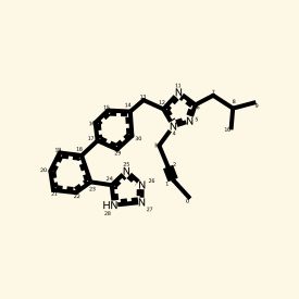 CC#CCn1nc(CC(C)C)nc1Cc1ccc(-c2ccccc2-c2nnn[nH]2)cc1